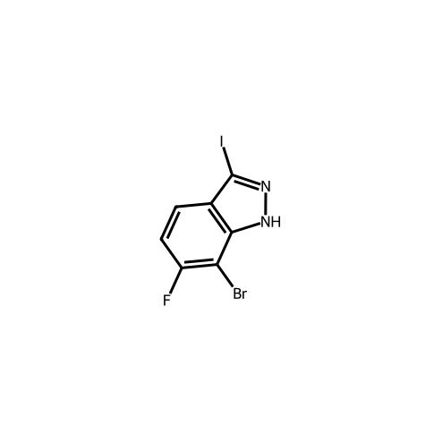 Fc1ccc2c(I)n[nH]c2c1Br